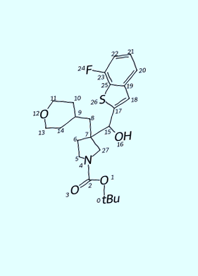 CC(C)(C)OC(=O)N1CCC(CC2CCOCC2)(C(O)c2cc3cccc(F)c3s2)C1